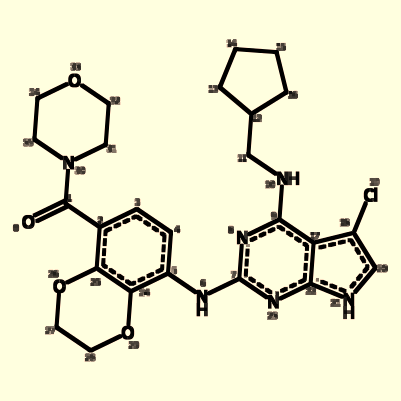 O=C(c1ccc(Nc2nc(NCC3CCCC3)c3c(Cl)c[nH]c3n2)c2c1OCCO2)N1CCOCC1